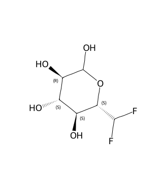 OC1O[C@H](C(F)F)[C@@H](O)[C@H](O)[C@H]1O